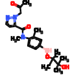 CC(=O)Cn1nccc1C(=O)N(C)c1ccc(BOC(C)(C)C(C)(C)O)cc1C